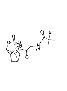 CCC(C)(C)C(=O)NCC(=O)OC1C2CC3C1OS(=O)(=O)C3(C#N)C2